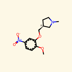 COc1ccc([N+](=O)[O-])cc1OC[C@H]1CCN(C)C1